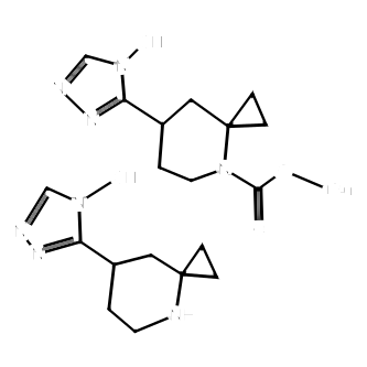 Cn1cnnc1C1CCN(C(=O)OC(C)(C)C)C2(CC2)C1.Cn1cnnc1C1CCNC2(CC2)C1